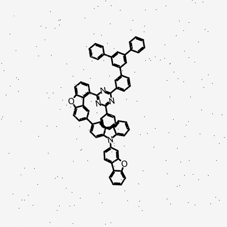 c1ccc(-c2cc(-c3ccccc3)cc(-c3cccc(-c4nc(-c5ccccc5)nc(-c5cccc6oc7ccc(-c8ccc9c(c8)c8ccccc8n9-c8ccc9c(c8)oc8ccccc89)cc7c56)n4)c3)c2)cc1